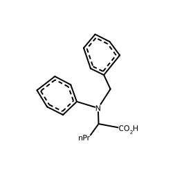 CCCC(C(=O)O)N(Cc1ccccc1)c1ccccc1